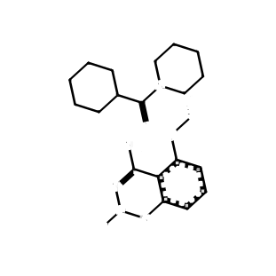 NC1=N[S+]([O-])Nc2cccc(OC[C@H]3CCCCN3C(=O)C3CCCCC3)c21